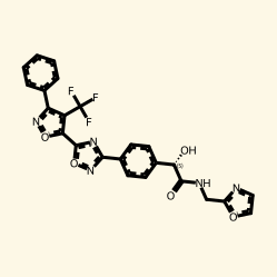 O=C(NCc1ncco1)[C@@H](O)c1ccc(-c2noc(-c3onc(-c4ccccc4)c3C(F)(F)F)n2)cc1